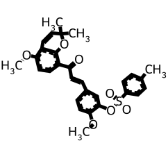 COc1ccc(/C=C/C(=O)c2ccc(OC)c3c2OC(C)(C)C=C3)cc1OS(=O)(=O)c1ccc(C)cc1